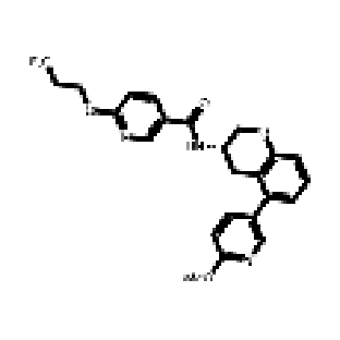 COc1ccc(-c2cccc3c2C[C@H](NC(=O)c2ccc(OCCC(F)(F)F)nc2)CO3)cn1